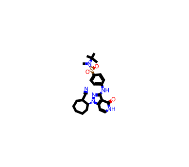 CN(C(C)(C)C)S(=O)(=O)c1ccc(Nc2nn([C@H]3CCCCCC3C#N)c3cc[nH]c(=O)c23)cc1